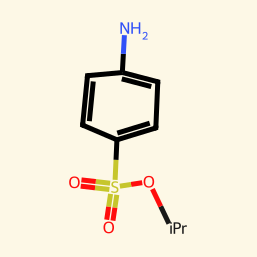 CC(C)OS(=O)(=O)c1ccc(N)cc1